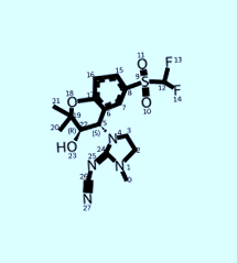 CN1CCN([C@H]2c3cc(S(=O)(=O)C(F)F)ccc3OC(C)(C)[C@@H]2O)C1=NC#N